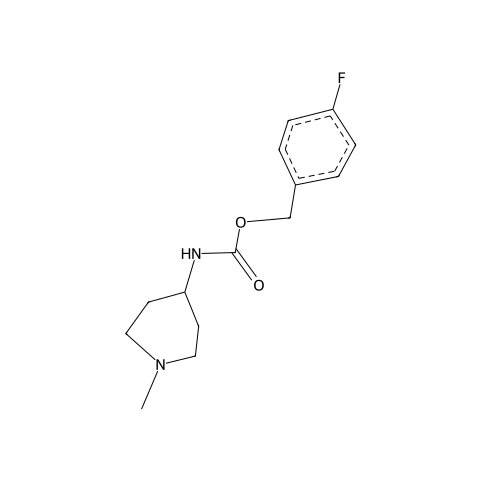 CN1CCC(NC(=O)OCc2ccc(F)cc2)CC1